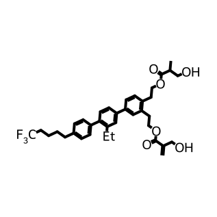 C=C(CO)C(=O)OCCc1cc(-c2ccc(-c3ccc(CCCCC(F)(F)F)cc3)c(CC)c2)ccc1CCOC(=O)C(C)CO